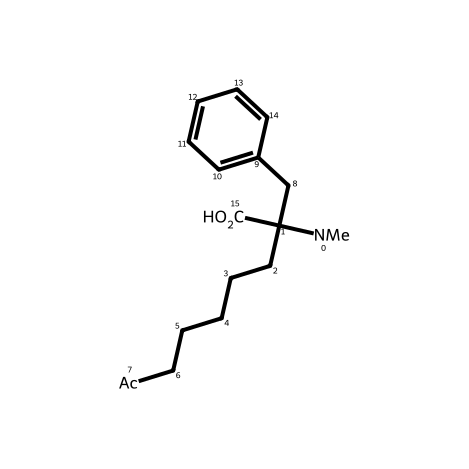 CNC(CCCCCC(C)=O)(Cc1ccccc1)C(=O)O